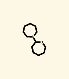 C1CCOC(N2CCCCCC2)CC1